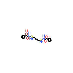 O=C(Nc1nnc(CCCCc2nnc(NC(=O)[C@@H](O)c3ccccc3)s2)s1)[C@@H](O)c1ccccc1